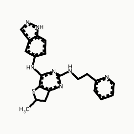 CC1Cc2nc(NCCc3ccccn3)nc(Nc3ccc4[nH]ncc4c3)c2S1